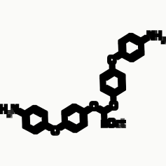 CCCCCCCCC(Oc1ccc(Oc2ccc(N)cc2)cc1)Oc1ccc(Oc2ccc(N)cc2)cc1